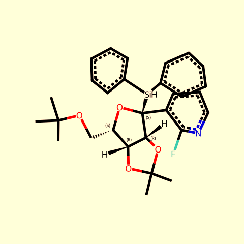 CC(C)(C)OC[C@@H]1O[C@@](c2cccnc2F)([SiH](c2ccccc2)c2ccccc2)[C@@H]2OC(C)(C)O[C@H]12